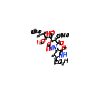 CO[C@@H](C(=O)NC1CC(C(=O)O)NC1=O)[C@H](O)[C@@H](O)[C@H](O)/C=C/C(C)(C)C